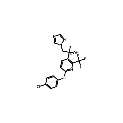 C[C@](O)(Cn1cncn1)c1ccc(Oc2ccc(Cl)cc2)nc1C(F)(F)F